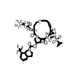 CC(C)(C)OC(=O)N[C@H]1CCCCC/C=C\[C@@H]2C[C@@]2(C(=O)NS(=O)(=O)C2CC2)NC(=O)[C@@H]2C[C@@H](OC(=O)N3CCc4cccc(C(F)(F)F)c4C3)CN2C1=O